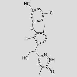 Cc1ccc(C(CO)c2cc(C)c(=O)[nH]n2)c(F)c1Oc1cc(Cl)cc(C#N)c1